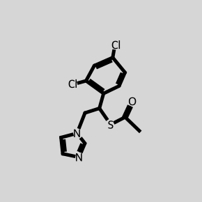 CC(=O)SC(Cn1ccnc1)c1ccc(Cl)cc1Cl